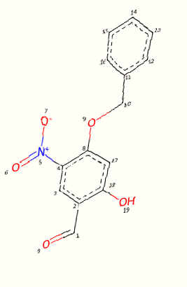 O=Cc1cc([N+](=O)[O-])c(OCc2ccccc2)cc1O